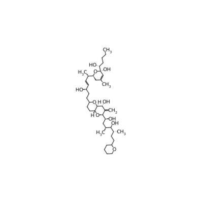 C=C1[C@@H](O)[C@@H]2OC(CC[C@@H](O)/C=C/[C@@H](C)[C@@H]3CC(C)=C[C@](O)([C@H](O)CCCC)O3)CC[C@H]2O[C@@H]1[C@@H](O)C[C@H](C)C(O)[C@H](C)CCC1CCCCO1